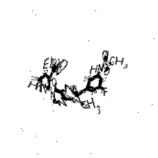 CCC(=O)[C@]1(Oc2ncnc3c2nc(-c2cc(F)cc(NS(C)(=O)=O)c2)n3C)CCNC1